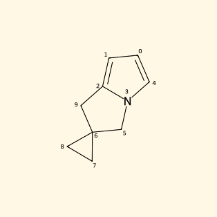 c1cc2n(c1)CC1(CC1)C2